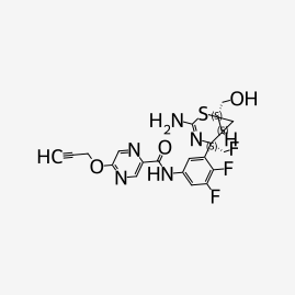 C#CCOc1cnc(C(=O)Nc2cc(F)c(F)c([C@@]3(CF)N=C(N)S[C@@]4(CO)C[C@H]43)c2)cn1